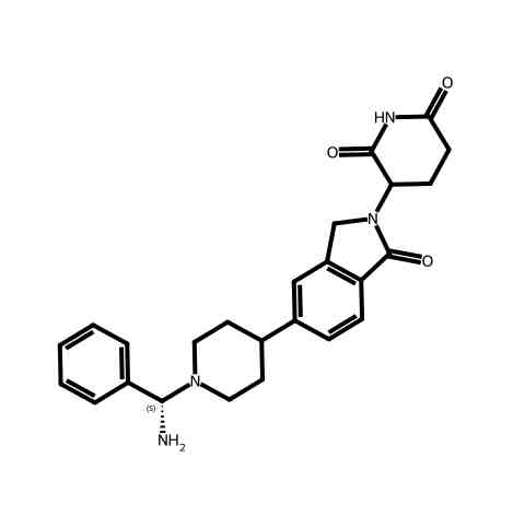 N[C@H](c1ccccc1)N1CCC(c2ccc3c(c2)CN(C2CCC(=O)NC2=O)C3=O)CC1